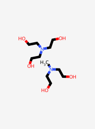 CN(CCO)CCO.OCCN(CCO)CCO